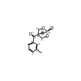 Cc1cccc(C(=O)C23COP(=O)(OC2)OC3)c1